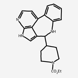 CCOC(=O)N1CCC(C2Nc3ccccc3-c3ccnc4[nH]cc2c34)CC1